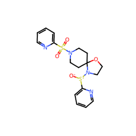 O=S(=O)(c1ccccn1)N1CCC2(CC1)OCCN2[S+]([O-])c1ccccn1